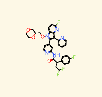 O=C(Nc1cc(-c2c(-c3ccccn3)c3nc(F)ccc3n2OC[C@@H]2COCCO2)ccn1)[C@H](CC(F)F)c1ccc(F)cc1